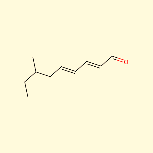 CCC(C)CC=CC=CC=O